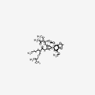 CCCCN(CCCN(C)C)C(=O)CN1C[C@H](c2cc(OC)c3c(c2)OCO3)[C@@H](C(=O)O)[C@@H]1CCN(CC)C(C)=O